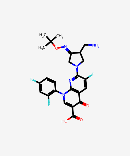 CC(C)(C)O/N=C1\CN(c2nc3c(cc2F)c(=O)c(C(=O)O)cn3-c2ccc(F)cc2F)CC1CN